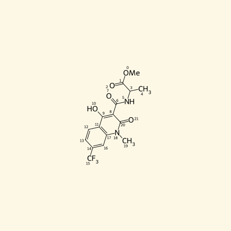 COC(=O)C(C)NC(=O)c1c(O)c2ccc(C(F)(F)F)cc2n(C)c1=O